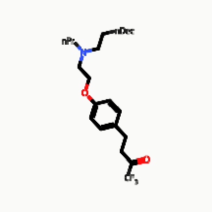 CCCCCCCCCCCCN(CCC)CCOc1ccc(CCC(=O)C(F)(F)F)cc1